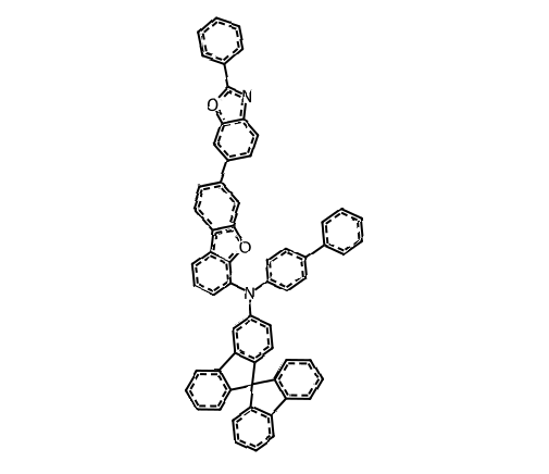 c1ccc(-c2ccc(N(c3ccc4c(c3)-c3ccccc3C43c4ccccc4-c4ccccc43)c3cccc4c3oc3cc(-c5ccc6nc(-c7ccccc7)oc6c5)ccc34)cc2)cc1